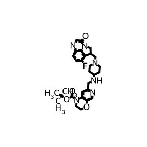 CC(C)(C)OC(=O)N1CCOc2cnc(CNC3CCN(CC4Cn5c(=O)cnc6ccc(F)c4c65)CC3)cc21